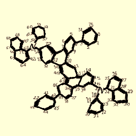 c1ccc(-c2ccc3c(c2)c2cc4c5ccc(N(c6ccccc6)c6cccc7ccccc67)cc5c5ccc(-c6ccccc6)cc5c4cc2c2ccc(N(c4ccccc4)c4cccc5ccccc45)cc32)cc1